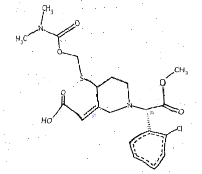 COC(=O)[C@H](c1ccccc1Cl)N1CCC(SCOC(=O)N(C)C)/C(=C\C(=O)O)C1